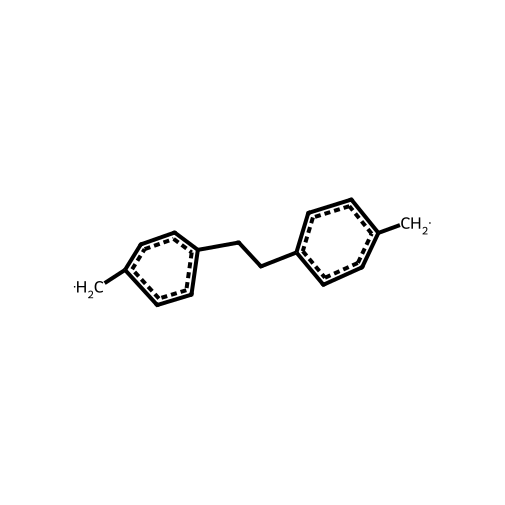 [CH2]c1ccc(CCc2ccc([CH2])cc2)cc1